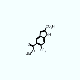 CC(C)(C)OC(=O)c1cc2cc(C(=O)O)[nH]c2cc1C(F)(F)F